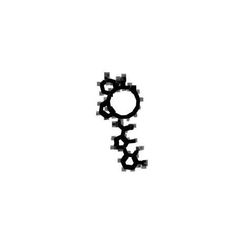 Cc1c(C(=O)N[C@H]2CCCCCNC(=O)[C@H]3CNCCN3c3cccc2c3)cnn1-c1cccc(Cl)c1F